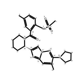 Cc1ccc(NS(C)(=O)=O)c(C(=O)N2CCCC[C@H]2c2cn3nc(N4CCCC4)c(C)cc3n2)c1